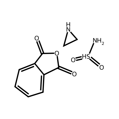 C1CN1.N[SH](=O)=O.O=C1OC(=O)c2ccccc21